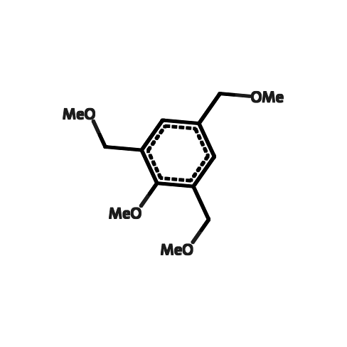 COCc1cc(COC)c(OC)c(COC)c1